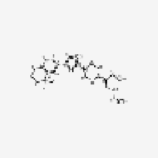 CC1(C)CCCc2ccc(-c3csc(N4CCN(C(CO)CCCO)CC4)n3)cc21